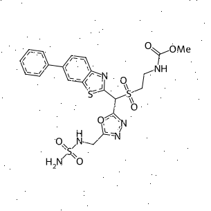 COC(=O)NCCS(=O)(=O)C(c1nnc(CNS(N)(=O)=O)o1)c1nc2ccc(-c3ccccc3)cc2s1